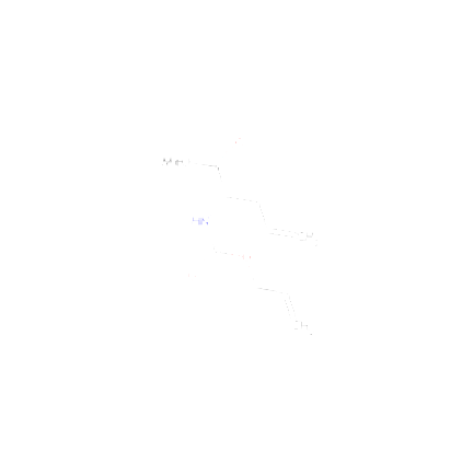 C=CCOC(=O)NC(CC=C)C(=O)OC